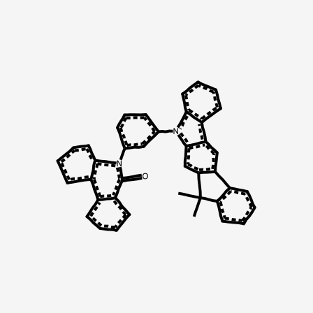 CC1(C)c2ccccc2-c2cc3c4ccccc4n(-c4cccc(-n5c(=O)c6ccccc6c6ccccc65)c4)c3cc21